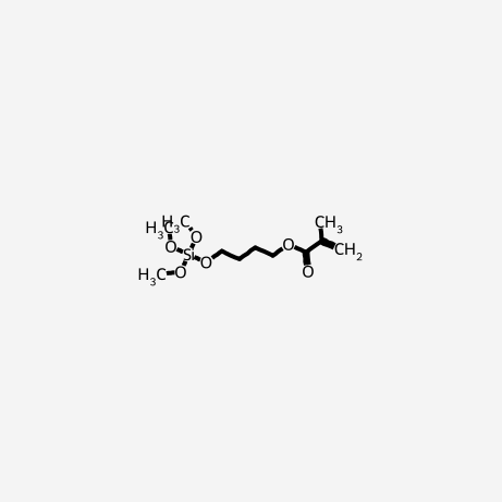 C=C(C)C(=O)OCCCCO[Si](OC)(OC)OC